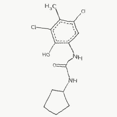 Cc1c(Cl)cc(NC(=O)NC2CCCC2)c(O)c1Cl